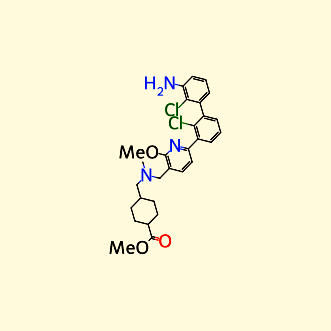 COC(=O)C1CCC(CN(C)Cc2ccc(-c3cccc(-c4cccc(N)c4Cl)c3Cl)nc2OC)CC1